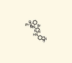 CC(C)S(=O)(=O)c1ccccc1Nc1nc(Nc2ccc3c(cnn3C)c2)ncc1Br